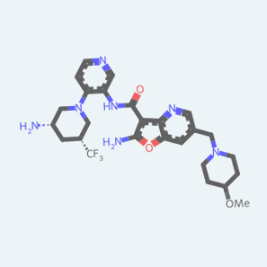 COC1CCN(Cc2cnc3c(C(=O)Nc4cnccc4N4C[C@@H](N)C[C@@H](C(F)(F)F)C4)c(N)oc3c2)CC1